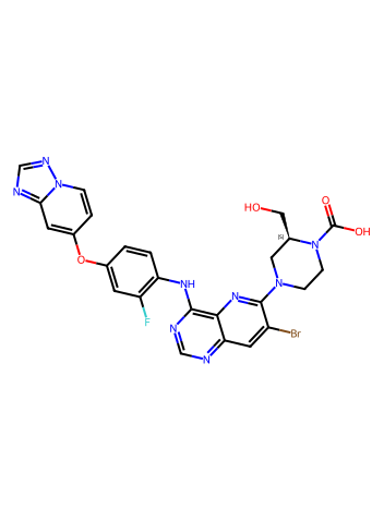 O=C(O)N1CCN(c2nc3c(Nc4ccc(Oc5ccn6ncnc6c5)cc4F)ncnc3cc2Br)C[C@H]1CO